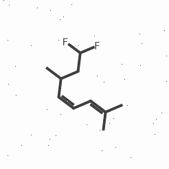 CC(C)=C/C=C\C(C)CC(F)F